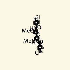 COc1cc(-c2ccc(NC(=O)c3ccc(CCl)cc3)c(OC)c2)ccc1NC(=O)c1ccc(CCl)cc1